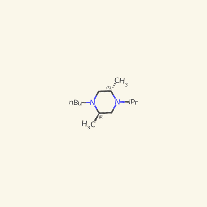 CCCCN1C[C@H](C)N(C(C)C)C[C@H]1C